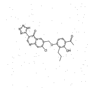 CCCc1c(OCc2cn3c(=O)c(-c4nnn[nH]4)cnc3cc2Cl)ccc(C(C)=O)c1O